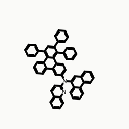 c1ccc(-c2cc(-c3ccccc3)c3c4ccccc4c4cc(N(c5ccc6ccccc6n5)c5cc6ccccc6c6ccccc56)ccc4c3c2-c2ccccc2)cc1